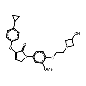 COc1cc(N2CC=C(Oc3ccc(C4CC4)cc3)C2=O)ccc1OCCN1CC(O)C1